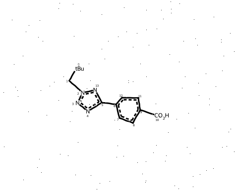 CC(C)(C)Cn1nnc(-c2ccc(C(=O)O)cc2)n1